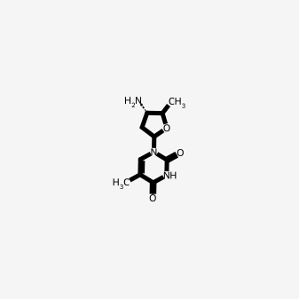 Cc1cn(C2C[C@H](N)C(C)O2)c(=O)[nH]c1=O